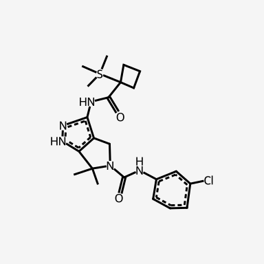 CC1(C)c2[nH]nc(NC(=O)C3(S(C)(C)C)CCC3)c2CN1C(=O)Nc1cccc(Cl)c1